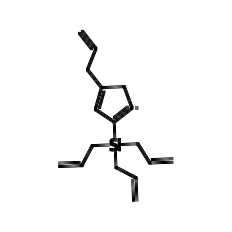 C=CCC1=CC([Si](CC=C)(CC=C)CC=C)=[C]C1